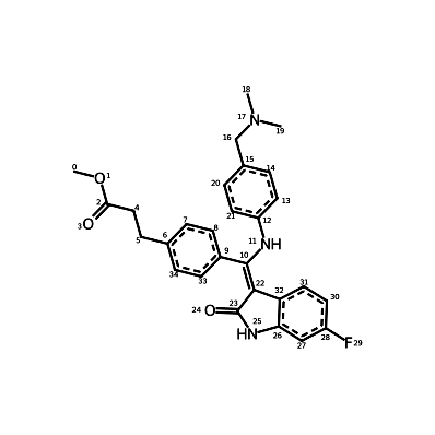 COC(=O)CCc1ccc(C(Nc2ccc(CN(C)C)cc2)=C2C(=O)Nc3cc(F)ccc32)cc1